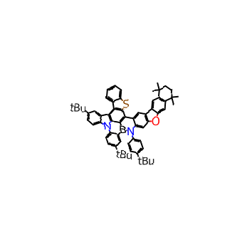 CC(C)(C)c1ccc(N2B3c4cc(C(C)(C)C)ccc4-n4c5ccc(C(C)(C)C)cc5c5c6c(sc7ccccc76)c(c3c54)-c3cc4c(cc32)oc2cc3c(cc24)C(C)(C)CCC3(C)C)cc1